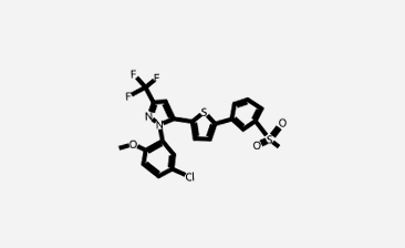 COc1ccc(Cl)cc1-n1nc(C(F)(F)F)cc1-c1ccc(-c2cccc(S(C)(=O)=O)c2)s1